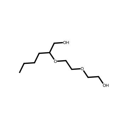 CCCCC(CO)OCCOCCO